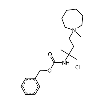 CC(C)(CC[N+]1(C)CCCCCC1)NC(=O)OCc1ccccc1.[Cl-]